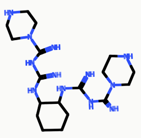 N=C(NC(=N)N1CCNCC1)NC1CCCCC1NC(=N)NC(=N)N1CCNCC1